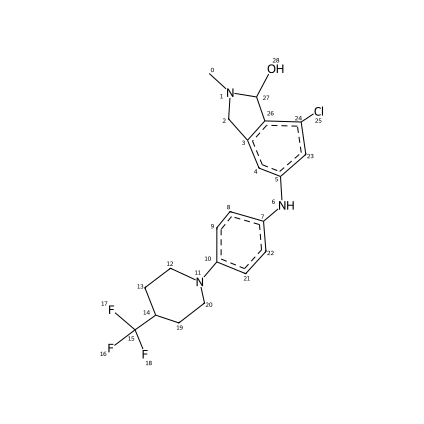 CN1Cc2cc(Nc3ccc(N4CCC(C(F)(F)F)CC4)cc3)cc(Cl)c2C1O